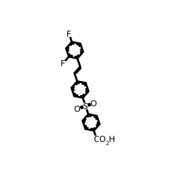 O=C(O)c1ccc(S(=O)(=O)c2ccc(/C=C/c3ccc(F)cc3F)cc2)cc1